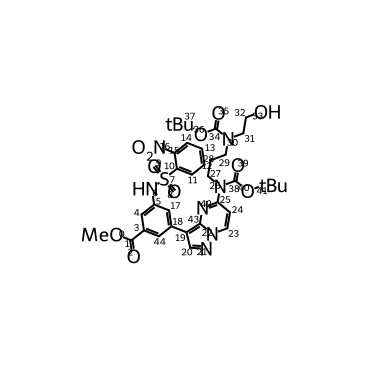 COC(=O)c1cc(NS(=O)(=O)c2ccccc2[N+](=O)[O-])cc(-c2cnn3ccc(N(CCCN(CCO)C(=O)OC(C)(C)C)C(=O)OC(C)(C)C)nc23)c1